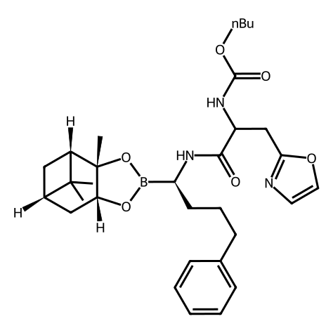 CCCCOC(=O)NC(Cc1ncco1)C(=O)N[C@@H](CCCc1ccccc1)B1O[C@@H]2C[C@@H]3C[C@@H](C3(C)C)[C@]2(C)O1